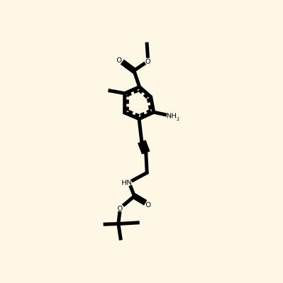 COC(=O)c1cc(N)c(C#CCNC(=O)OC(C)(C)C)cc1C